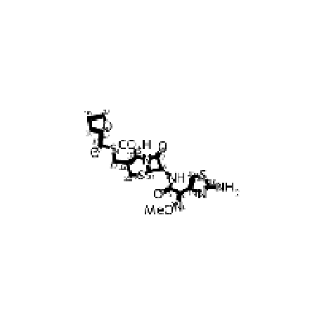 CO/N=C(\C(=O)N[C@@H]1C(=O)N2C(C(=O)O)=C(CSC(=O)c3ccco3)CSC12)c1csc(N)n1